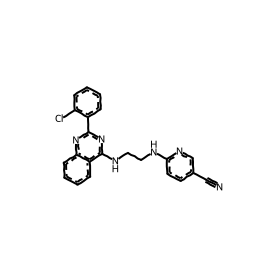 N#Cc1ccc(NCCNc2nc(-c3ccccc3Cl)nc3ccccc23)nc1